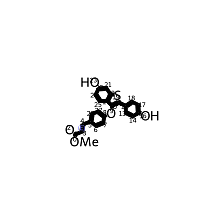 COC(=O)/C=C/c1ccc(Oc2c(-c3ccc(O)cc3)sc3cc(O)ccc23)cc1